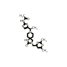 CC(=O)Nc1ncc([C@@H](C)N2CCC3(CC2)CN(Cc2cc(C)nc(C)n2)C(=O)N3)s1